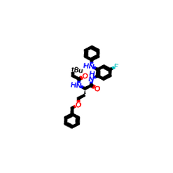 CC(C)(C)CC(=O)N[C@@H](CCOCc1ccccc1)C(=O)Nc1ccc(F)cc1Nc1ccccc1